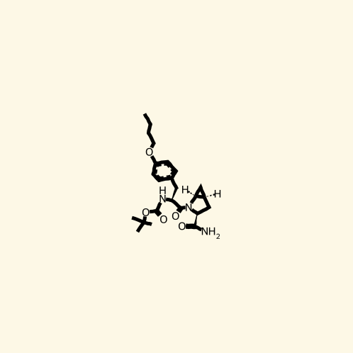 CCCCOc1ccc(C[C@H](NC(=O)OC(C)(C)C)C(=O)N2[C@H](C(N)=O)C[C@@H]3C[C@@H]32)cc1